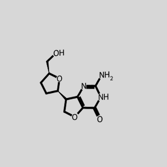 Nc1nc2c(c(=O)[nH]1)OCC2[C@H]1CC[C@@H](CO)O1